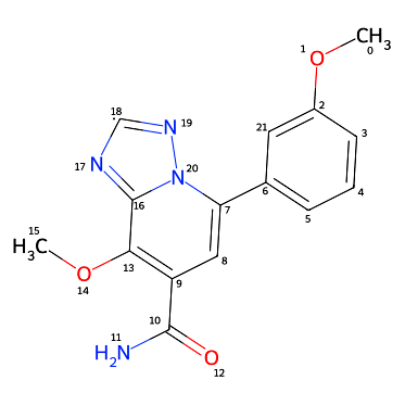 COc1cccc(-c2cc(C(N)=O)c(OC)c3n[c]nn23)c1